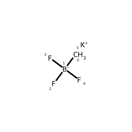 C[B-](F)(F)F.[K+]